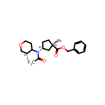 CC(C)[C@]1(C(=O)OCc2ccccc2)CC[C@@H](N(C(=O)C(F)(F)F)C2CCOC[C@H]2C)C1